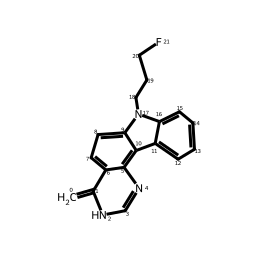 C=C1NC=Nc2c1ccc1c2c2ccccc2n1CCCF